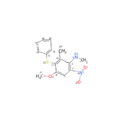 CNc1c([N+](=O)[O-])cc(OC)c(Sc2ccccc2)c1C